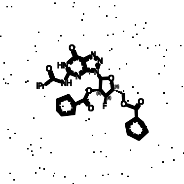 CC(C)C(=O)Nc1nc2c(nnn2C2O[C@H](COC(=O)c3ccccc3)[C@@H](F)[C@H]2OC(=O)c2ccccc2)c(=O)[nH]1